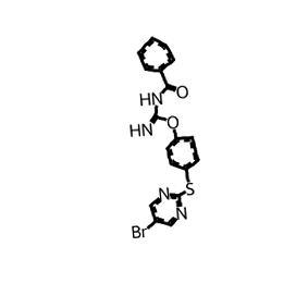 N=C(NC(=O)c1ccccc1)Oc1ccc(Sc2ncc(Br)cn2)cc1